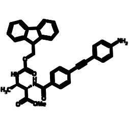 COC(=O)[C@@H](NC(=O)c1ccc(C#Cc2ccc(N)cc2)cc1)[C@@H](C)NC(=O)OCC1c2ccccc2-c2ccccc21